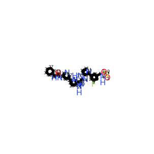 CS(=O)(=O)NCc1cc(F)cc(-c2nccc3[nH]c(-c4n[nH]c5ccc(-c6cncc(NC(=O)CC7CCCCC7)c6)nc45)nc23)c1